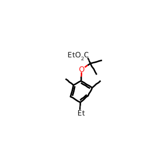 CCOC(=O)C(C)(C)Oc1c(C)cc(CC)cc1C